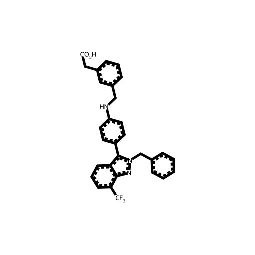 O=C(O)Cc1cccc(CNc2ccc(-c3c4cccc(C(F)(F)F)c4nn3Cc3ccccc3)cc2)c1